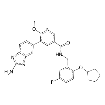 COc1ncc(C(=O)NCc2cc(F)ccc2OC2CCCC2)cc1-c1ccc2nc(N)sc2c1